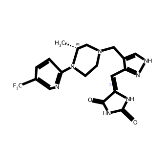 C[C@@H]1CN(Cc2c[nH]nc2/C=C2\NC(=O)NC2=O)CCN1c1ccc(C(F)(F)F)cn1